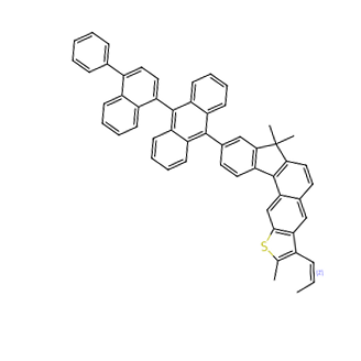 C/C=C\c1c(C)sc2cc3c4c(ccc3cc12)C(C)(C)c1cc(-c2c3ccccc3c(-c3ccc(-c5ccccc5)c5ccccc35)c3ccccc23)ccc1-4